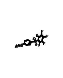 COc1ccc(S(=O)(=O)c2c(F)c(F)c(F)c(F)c2F)cc1